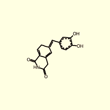 O=C1CC2=CC(=Cc3ccc(O)c(O)c3)CC=C2C(=O)N1